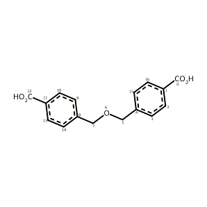 O=C(O)c1ccc(COCc2ccc(C(=O)O)cc2)cc1